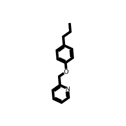 CCCc1ccc(OCc2ccccn2)cc1